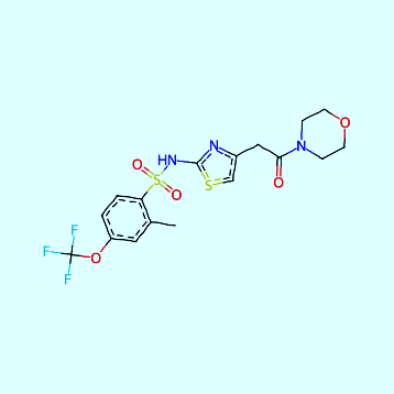 Cc1cc(OC(F)(F)F)ccc1S(=O)(=O)Nc1nc(CC(=O)N2CCOCC2)cs1